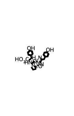 N[C@@H](Cc1ccc(O)cc1)c1noc([C@@H]2CCCN2C(=O)NC(Cc2ccc(O)cc2)C(=O)O)n1